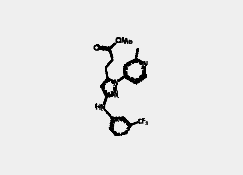 COC(=O)CCc1cc(Nc2cccc(C(F)(F)F)c2)nn1-c1ccnc(C)c1